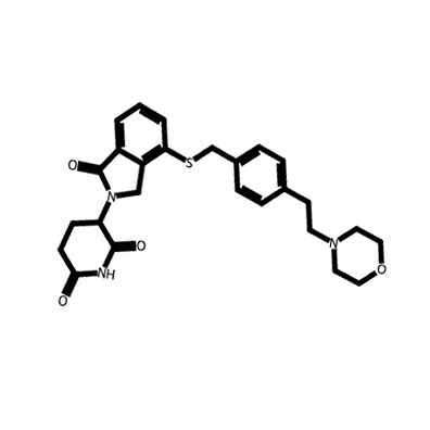 O=C1CCC(N2Cc3c(SCc4ccc(CCN5CCOCC5)cc4)cccc3C2=O)C(=O)N1